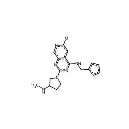 CNC1CCN(c2nc(NCc3cccs3)c3cc(Cl)ncc3n2)C1